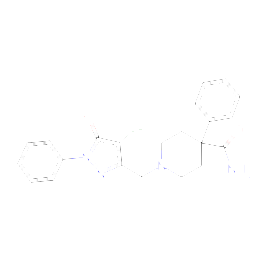 NC(=O)C1(c2ccccc2)CCN(Cc2[nH]n(-c3ccccc3)c(=O)c2Br)CC1